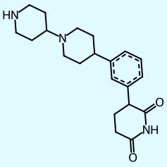 O=C1CCC(c2cccc(C3CCN(C4CCNCC4)CC3)c2)C(=O)N1